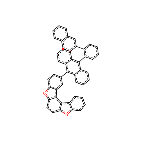 c1ccc(-c2c3ccccc3c(-c3ccc4oc5ccc6oc7ccccc7c6c5c4c3)c3ccccc23)c(-c2ccc3ccccc3c2)c1